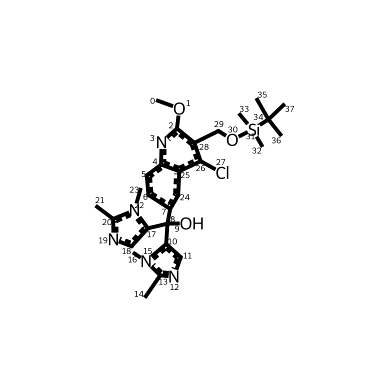 COc1nc2ccc(C(O)(c3cnc(C)n3C)c3cnc(C)n3C)cc2c(Cl)c1CO[Si](C)(C)C(C)(C)C